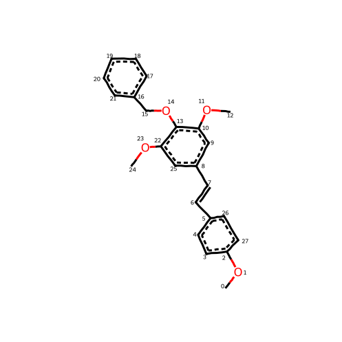 COc1ccc(/C=C/c2cc(OC)c(OCc3ccccc3)c(OC)c2)cc1